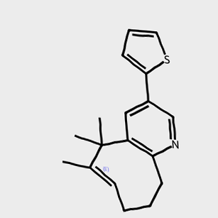 C/C1=C\CCCc2ncc(-c3cccs3)cc2C1(C)C